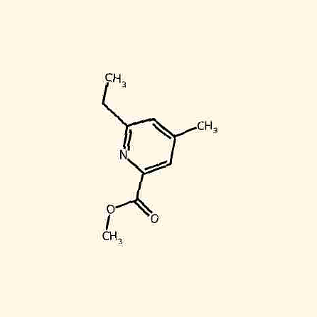 CCc1cc(C)cc(C(=O)OC)n1